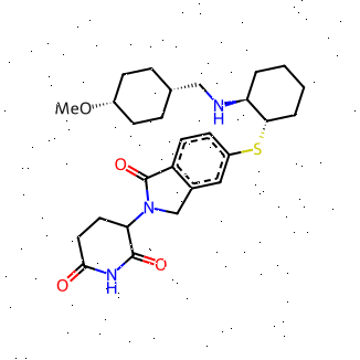 CO[C@H]1CC[C@@H](CN[C@H]2CCCC[C@@H]2Sc2ccc3c(c2)CN(C2CCC(=O)NC2=O)C3=O)CC1